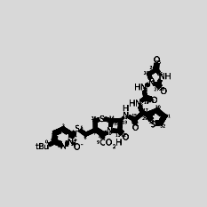 CC(C)(C)c1ccc(SCC2=C(C(=O)O)N3C(=O)[C@H](NC(=O)C(NC(=O)NN4CC(=O)NC4=O)c4cccs4)C3SC2)[n+]([O-])n1